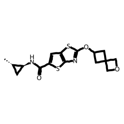 C[C@H]1C[C@@H]1NC(=O)c1cc2sc(OC3CC4(COC4)C3)nc2s1